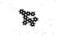 c1ccc(-c2ccc(-c3nc4ccccc4nc3-c3ccc(N(c4ccccc4)c4ccc5c(c4)c4ccccc4n5-c4ccccc4)cc3)cc2)cc1